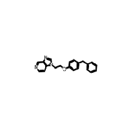 c1ccc(Cc2ccc(OCCn3cnc4cnccc43)cc2)cc1